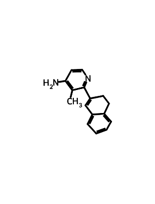 Cc1c(N)ccnc1C1=Cc2ccccc2CC1